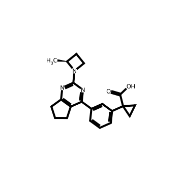 C[C@H]1CCN1c1nc2c(c(-c3cccc(C4(C(=O)O)CC4)c3)n1)CCC2